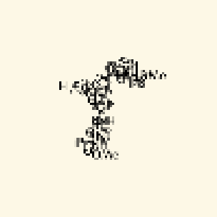 COC(=O)N[C@H](C(=O)N1CCC[C@H]1c1ncc(-c2cc(F)c3c(c2)OC(c2nc(C)co2)n2c-3cc3cc(-c4cnc([C@@H]5CCCN5C(=O)[C@@H](NC(=O)OC)C(C)C)[nH]4)ccc32)[nH]1)C(C)C